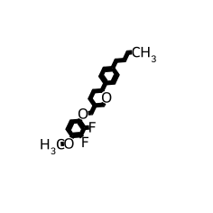 CCCCc1ccc(C2CCC(COc3ccc(OC)c(F)c3F)CO2)cc1